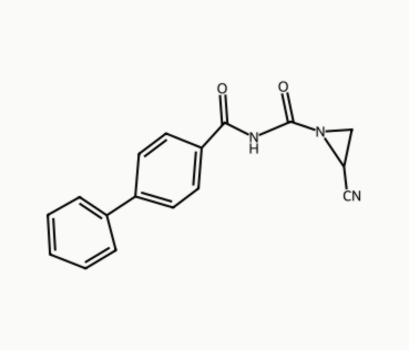 N#CC1CN1C(=O)NC(=O)c1ccc(-c2ccccc2)cc1